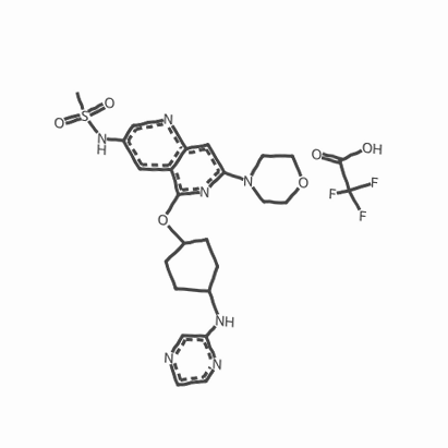 CS(=O)(=O)Nc1cnc2cc(N3CCOCC3)nc(OC3CCC(Nc4cnccn4)CC3)c2c1.O=C(O)C(F)(F)F